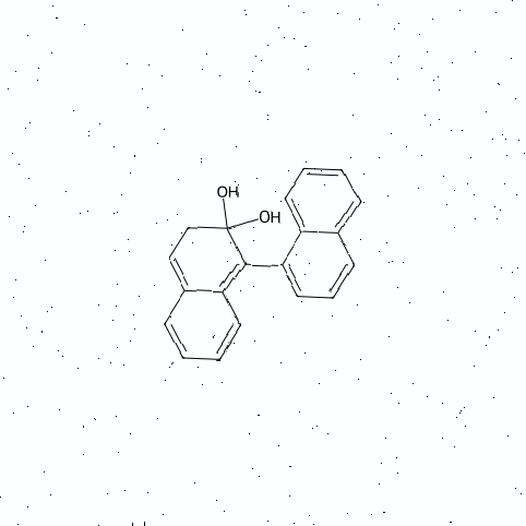 OC1(O)CC=c2ccccc2=C1c1cccc2ccccc12